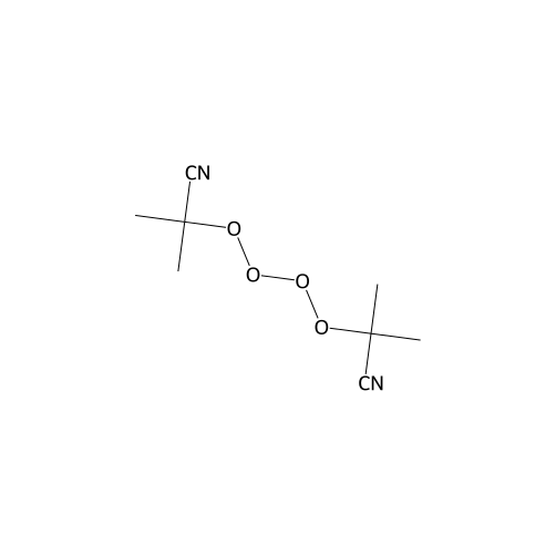 CC(C)(C#N)OOOOC(C)(C)C#N